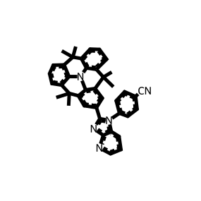 CC1(C)c2cccc3c2N2c4c1cccc4C(C)(C)c1cc(-c4nc5ncccc5n4-c4ccc(C#N)cc4)cc(c12)C3(C)C